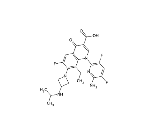 CCc1c(N2CC(NC(C)C)C2)c(F)cc2c(=O)c(C(=O)O)cn(-c3nc(N)c(F)cc3F)c12